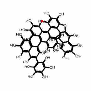 Oc1c(O)c(O)c(-c2c(O)c(-c3c4c(O)c(O)c(O)c(O)c4c(-c4c(O)c(O)c(O)c5oc6c(O)c7c(O)c(O)c(O)c(O)c7c(O)c6c45)c4c(O)c(O)c(O)c(O)c34)c3c(O)c(O)c(O)c(O)c3c2O)c(O)c1O